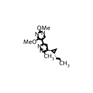 C/C=C/[C@H]1C[C@@H]1c1cc(-c2cnc(OC)nc2OC)nnc1C